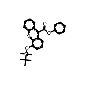 CC(C)(C)[Si](C)(C)Oc1cccc2c(C(=O)Oc3ccccc3)c3ccccc3nc12